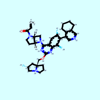 C=CC(=O)N1CC[C@@H]2[C@H]1CN2c1nc(OC[C@@]23CCCN2C[C@H](F)C3)nc2c(F)c(-c3cncc4c3CCCC4)c(F)cc12